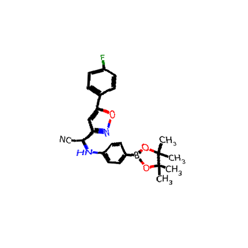 CC1(C)OB(c2ccc(NC(C#N)c3cc(-c4ccc(F)cc4)on3)cc2)OC1(C)C